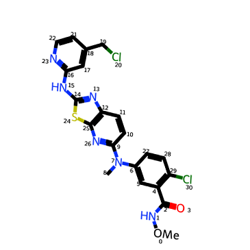 CONC(=O)c1cc(N(C)c2ccc3nc(Nc4cc(CCl)ccn4)sc3n2)ccc1Cl